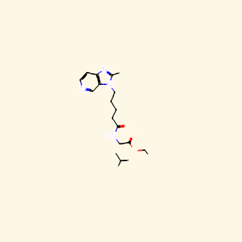 CCOC(=O)[C@H](CC(C)C)NC(=O)CCCCn1c(C)nc2ccncc21